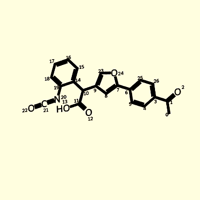 CC(=O)c1ccc(-c2cc(C(C(=O)O)c3ccccc3N=C=O)co2)cc1